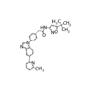 Cc1cccc(-c2ccc3c(c2)ncn3-c2ccc(CC(=O)Nc3cc(C(C)(C)C)on3)cc2)n1